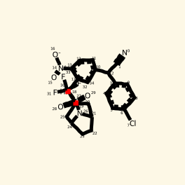 N#CC(c1ccc(Cl)cc1)c1ccc([N+](=O)[O-])c(NC2CC3CCC(C2)N3S(=O)(=O)C(F)(F)F)c1